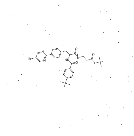 CC(C)(C)OC(=O)CCNC(=O)C(Cc1ccc(-c2ncc(Br)cn2)cc1)NC(=O)c1ccc(C(C)(C)C)cc1